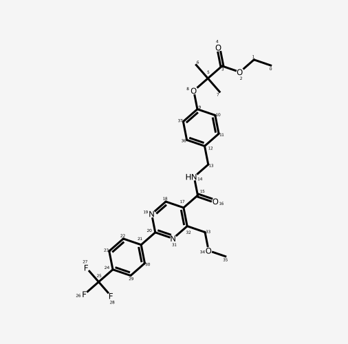 CCOC(=O)C(C)(C)Oc1ccc(CNC(=O)c2cnc(-c3ccc(C(F)(F)F)cc3)nc2COC)cc1